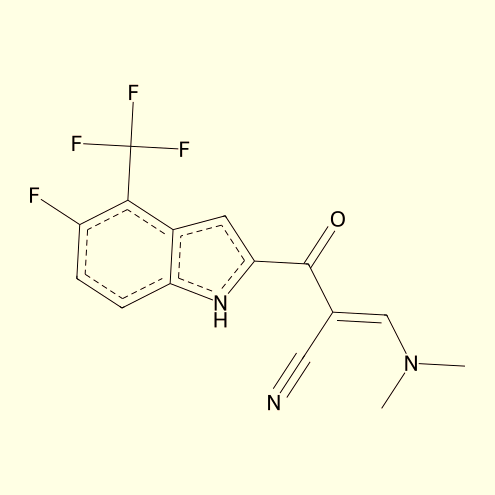 CN(C)C=C(C#N)C(=O)c1cc2c(C(F)(F)F)c(F)ccc2[nH]1